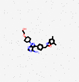 Cc1cc(C)c2oc(Cc3ccc(-c4nn(C5CCC(OCCO)CC5)c5ncnc(N)c45)cc3)nc2c1